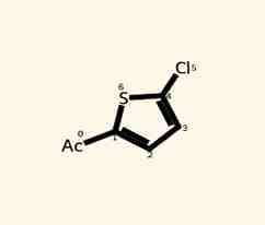 CC(=O)c1ccc(Cl)s1